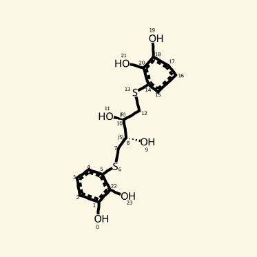 Oc1cccc(SC[C@@H](O)[C@@H](O)CSc2cccc(O)c2O)c1O